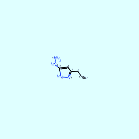 CCCCCc1cc(NN)[nH]n1